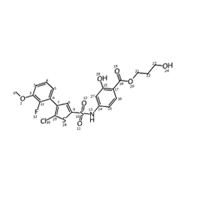 COc1cccc(-c2cc(S(=O)(=O)Nc3ccc(C(=O)OCCCO)c(O)c3)sc2Cl)c1F